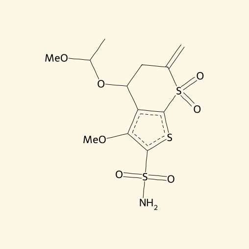 C=C1CC(OC(C)OC)c2c(sc(S(N)(=O)=O)c2OC)S1(=O)=O